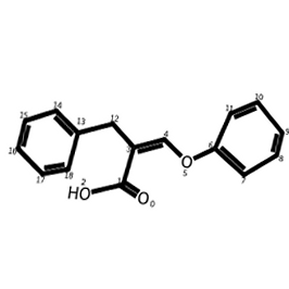 O=C(O)C(=COc1ccccc1)Cc1ccccc1